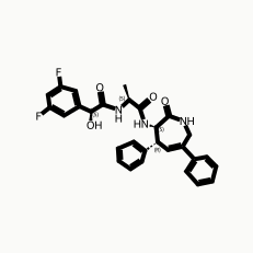 C[C@H](NC(=O)[C@@H](O)c1cc(F)cc(F)c1)C(=O)N[C@@H]1C(=O)NCC(c2ccccc2)=C[C@@H]1c1ccccc1